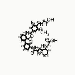 COc1cc(C(=O)Nc2cccc(-c3cccc(NC(=O)c4cc5n(n4)CCCC5NCC(=O)O)c3Cl)c2Cl)cc(F)c1CNCCO